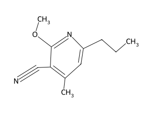 CCCc1cc(C)c(C#N)c(OC)n1